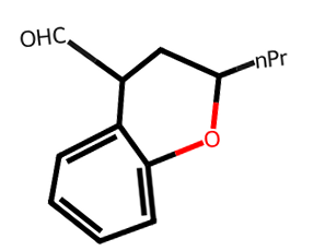 CCCC1CC(C=O)c2ccccc2O1